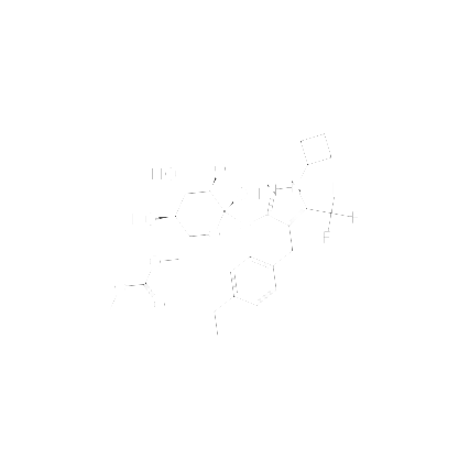 CCc1ccc(Cc2c(O[C@]3(O)O[C@H](COC(=O)OC)[C@@H](O)[C@H](O)[C@H]3O)nn(C3CCC3)c2C(F)(F)F)cc1